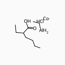 CCCCC(CC)C(=O)O.C[CH2][AlH2].Cl.[Co]